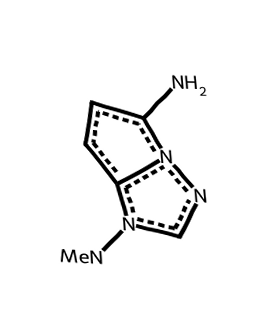 CNn1cnn2c(N)ccc12